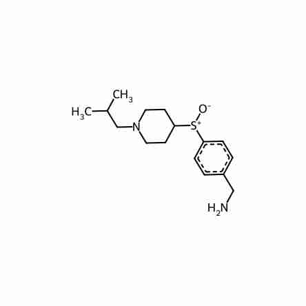 CC(C)CN1CCC([S+]([O-])c2ccc(CN)cc2)CC1